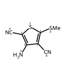 CSc1sc(C#N)c(N)c1C#N